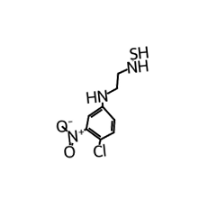 O=[N+]([O-])c1cc(NCCNS)ccc1Cl